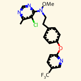 CON(CCc1ccc(Oc2ccc(C(F)(F)F)cn2)cc1)c1ncnc(C)c1Cl